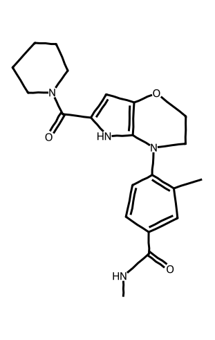 CNC(=O)c1ccc(N2CCOc3cc(C(=O)N4CCCCC4)[nH]c32)c(C)c1